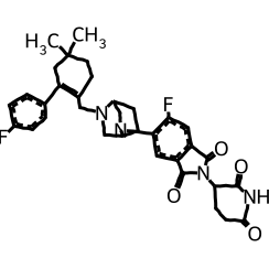 CC1(C)CCC(CN2CC3CCC2CN3c2cc3c(cc2F)C(=O)N(C2CCC(=O)NC2=O)C3=O)=C(c2ccc(F)cc2)C1